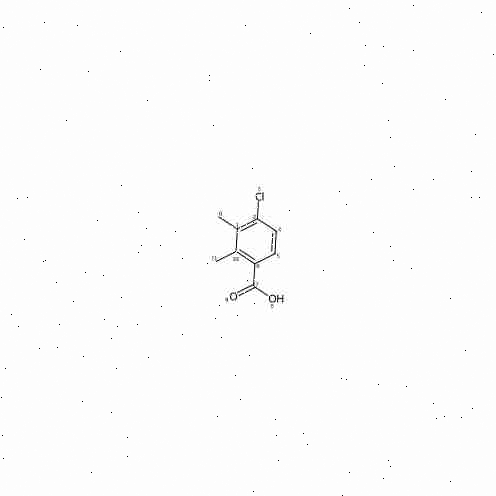 Cc1c(Cl)ccc(C(=O)O)c1C